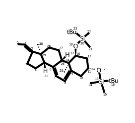 C/C=C1\CC[C@H]2C3=CC=C4C[C@@H](O[Si](C)(C)C(C)(C)C)C[C@H](O[Si](C)(C)C(C)(C)C)[C@]4(C)[C@H]3CC[C@]12C